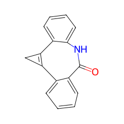 O=C1Nc2ccccc2C2=C(C2)c2ccccc21